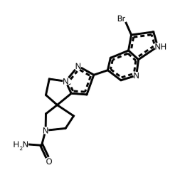 NC(=O)N1CCC2(CCn3nc(-c4cnc5[nH]cc(Br)c5c4)cc32)C1